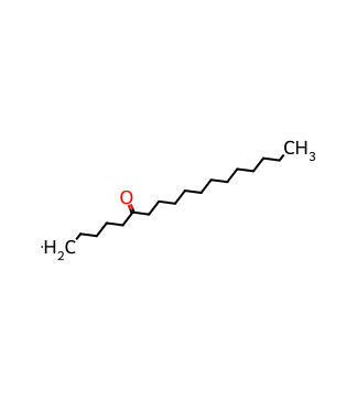 [CH2]CCCCC(=O)CCCCCCCCCCCC